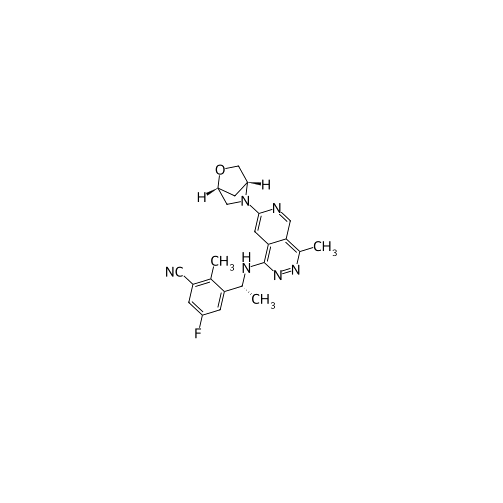 Cc1c(C#N)cc(F)cc1[C@@H](C)Nc1nnc(C)c2cnc(N3C[C@H]4C[C@@H]3CO4)cc12